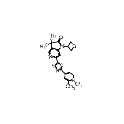 CC1=CC(c2nnc(-c3cc4c(cn3)C(C)(C)C(=O)N4C3COC3)o2)=CCN1C